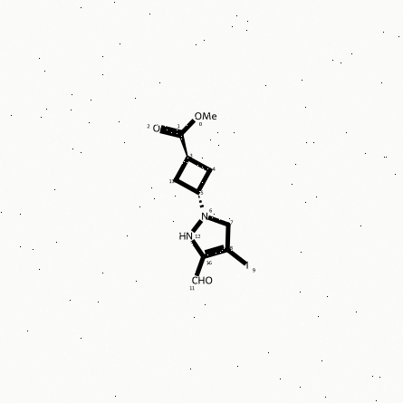 COC(=O)[C@H]1C[C@H](N2CC(I)=C(C=O)N2)C1